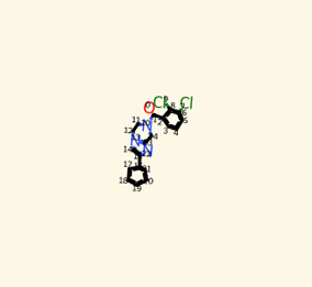 O=C(c1cccc(Cl)c1Cl)N1CCn2cc(-c3ccccc3)nc2C1